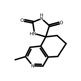 Cc1cc2c(cn1)CCCC21NC(=O)NC1=O